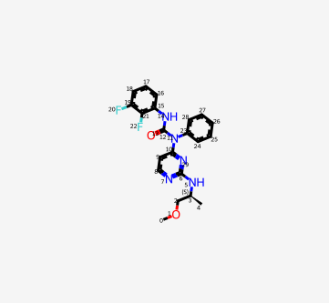 COC[C@H](C)Nc1nccc(N(C(=O)Nc2cccc(F)c2F)c2ccccc2)n1